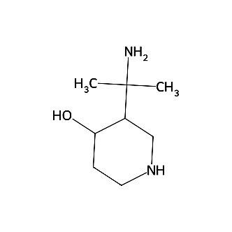 CC(C)(N)C1CNCCC1O